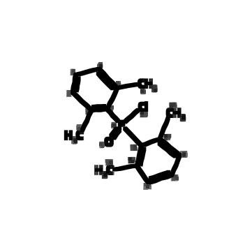 Cc1cccc(C)c1P(=O)(Cl)c1c(C)cccc1C